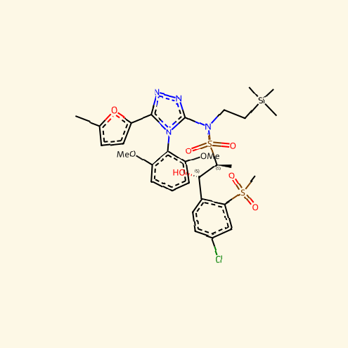 COc1cccc(OC)c1-n1c(-c2ccc(C)o2)nnc1N(CC[Si](C)(C)C)S(=O)(=O)[C@@H](C)[C@@H](O)c1ccc(Cl)cc1S(C)(=O)=O